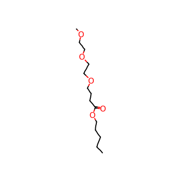 CCCCCOC(=O)CCCOCCOCCOC